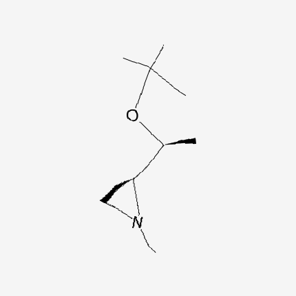 C[C@H](OC(C)(C)C)[C@@H]1CN1C